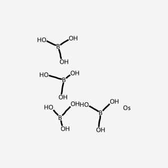 OB(O)O.OB(O)O.OB(O)O.OB(O)O.[Os]